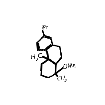 COC1(C)CCCC2(C)c3ccc(C(C)C)cc3CCC12